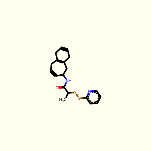 CC(SSc1ccccn1)C(=O)NC1C#CCC2=C(CC#CC2)C1